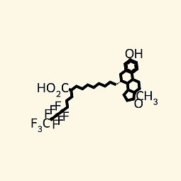 C[C@]12CCC3c4ccc(O)cc4C[C@@H](CCCCCCCCC(CCCC(F)(F)C(F)(F)C(F)(F)C(F)(F)F)C(=O)O)C3C1CCC2=O